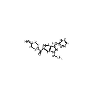 O=C(c1cc2c(cn1)c(Nc1cnccn1)nn2CC(F)(F)F)N1CCC(O)CC1